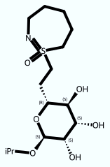 CC(C)O[C@H]1O[C@H](CCS2(=O)=NCCCCC2)[C@@H](O)[C@H](O)[C@@H]1O